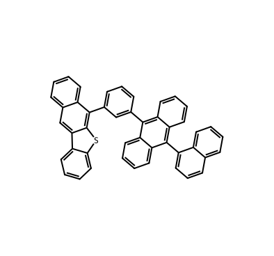 c1cc(-c2c3ccccc3c(-c3cccc4ccccc34)c3ccccc23)cc(-c2c3ccccc3cc3c2sc2ccccc23)c1